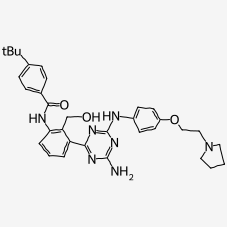 CC(C)(C)c1ccc(C(=O)Nc2cccc(-c3nc(N)nc(Nc4ccc(OCCN5CCCC5)cc4)n3)c2CO)cc1